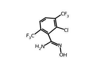 NC(=NO)c1c(C(F)(F)F)ccc(C(F)(F)F)c1Cl